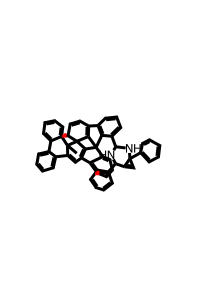 CC1C=CC2=C3C4(C5=C(C=C6c7ccccc7-c7ccccc7C6(C)C531)c1ccccc14)c1c2cccc1C1NC(c2ccccc2)C2=CC2(c2ccccc2)N1